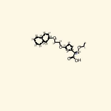 CCO/N=C(/C(=O)O)c1ccc(OCCOc2ccc3ccccc3c2)s1